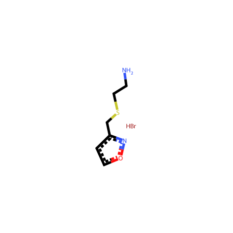 Br.NCCSCc1ccon1